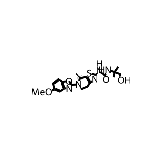 COc1ccc2oc(N3CCc4nc(NC(=O)NC(C)(C)CO)sc4[C@@H]3C)nc2c1